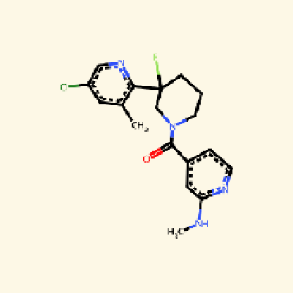 CNc1cc(C(=O)N2CCCC(F)(c3ncc(Cl)cc3C)C2)ccn1